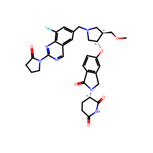 COC[C@@H]1CN(Cc2cc(F)c3nc(N4CCCC4=O)ncc3c2)C[C@H]1Oc1ccc2c(c1)CN([C@H]1CCC(=O)NC1=O)C2=O